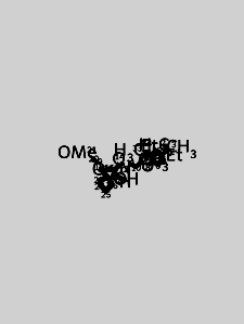 CCC(C)(C)c1ccc(OCCCNC(=O)c2cc(OCCOC)c3ccccc3c2O)c(C(C)(C)CC)c1